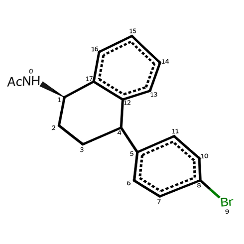 CC(=O)N[C@@H]1CCC(c2ccc(Br)cc2)c2ccccc21